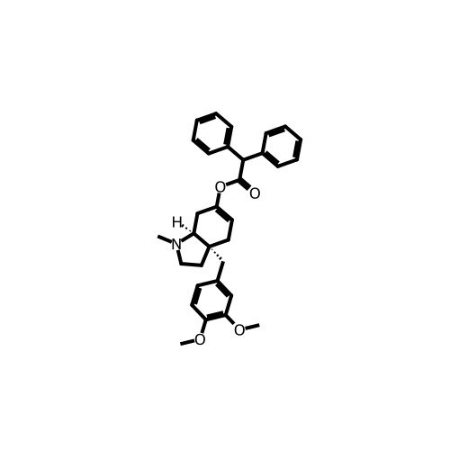 COc1ccc(C[C@@]23CC=C(OC(=O)C(c4ccccc4)c4ccccc4)C[C@@H]2N(C)CC3)cc1OC